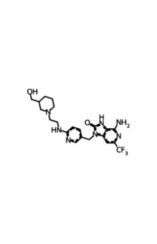 Nc1nc(C(F)(F)F)cc2c1[nH]c(=O)n2Cc1ccc(NCCN2CCCC(CO)C2)nc1